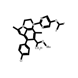 Cc1c(C(OC(C)(C)C)C(=O)O)c(-c2ccc(Cl)cc2)c2cc(C)n3c2c1N(c1ncc(OC(F)F)cn1)CC3